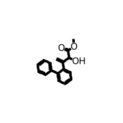 C=C(c1ccccc1-c1ccccc1)C(O)C(=O)OC